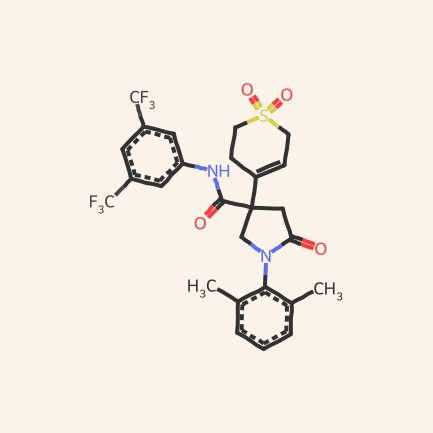 Cc1cccc(C)c1N1CC(C(=O)Nc2cc(C(F)(F)F)cc(C(F)(F)F)c2)(C2=CCS(=O)(=O)CC2)CC1=O